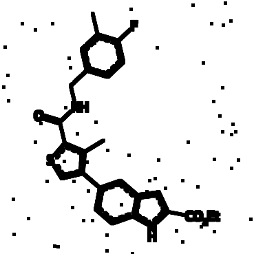 CCOC(=O)c1cc2cc(-c3csc(C(=O)NCc4ccc(F)c(C)c4)c3C)ccc2[nH]1